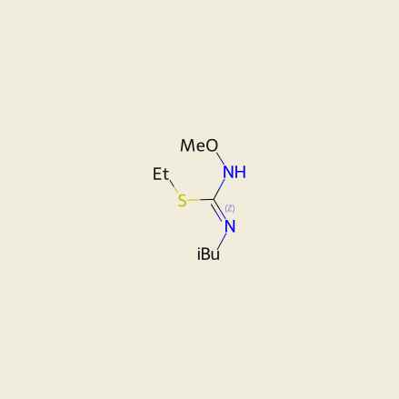 CCS/C(=N\C(C)CC)NOC